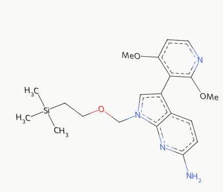 COc1ccnc(OC)c1-c1cn(COCC[Si](C)(C)C)c2nc(N)ccc12